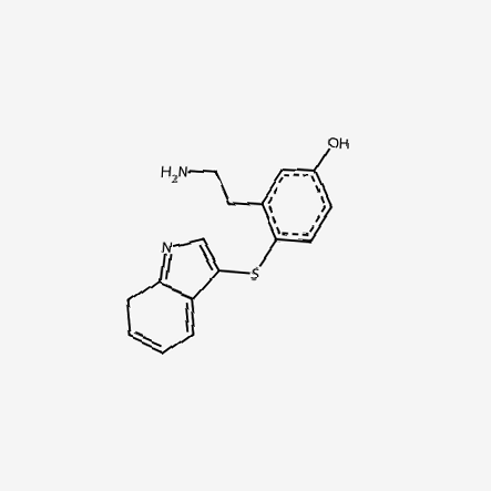 NCCc1cc(O)ccc1SC1=CN=C2CC=CC=C12